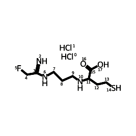 Cl.Cl.N=C(CF)NCCCNC(CCS)C(=O)O